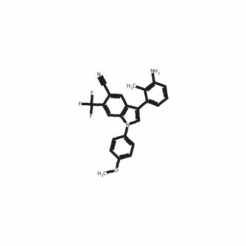 COc1ccc(-n2cc(-c3cccc(N)c3C)c3cc(C#N)c(C(F)(F)F)cc32)cc1